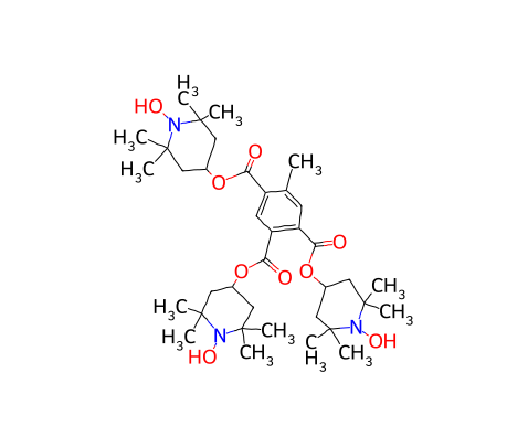 Cc1cc(C(=O)OC2CC(C)(C)N(O)C(C)(C)C2)c(C(=O)OC2CC(C)(C)N(O)C(C)(C)C2)cc1C(=O)OC1CC(C)(C)N(O)C(C)(C)C1